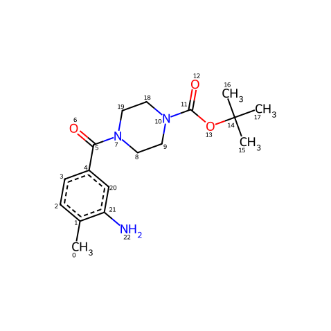 Cc1ccc(C(=O)N2CCN(C(=O)OC(C)(C)C)CC2)cc1N